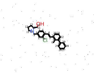 Cc1c(/C=C/c2ccc(CN3CCCC3CO)cc2Cl)cccc1-c1ccccc1